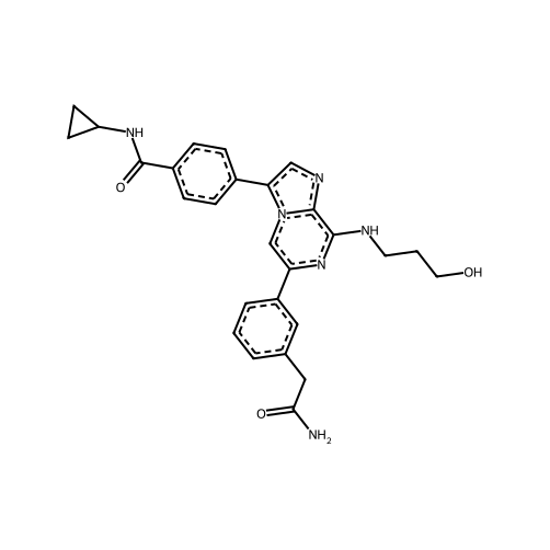 NC(=O)Cc1cccc(-c2cn3c(-c4ccc(C(=O)NC5CC5)cc4)cnc3c(NCCCO)n2)c1